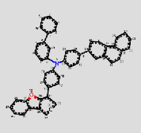 c1ccc(-c2cccc(N(c3ccc(-c4ccc5c(ccc6ccccc65)c4)cc3)c3ccc(-c4cccc5c4oc4ccccc45)cc3)c2)cc1